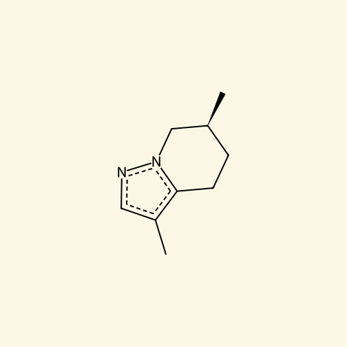 Cc1cnn2c1CC[C@H](C)C2